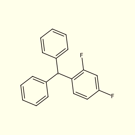 Fc1ccc([C](c2ccccc2)c2ccccc2)c(F)c1